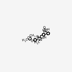 CCCc1nc(C)n(-c2ccc(OC3CC(C)OC(C)C3)cc2)c(=O)c1Cc1ccc(-c2ccccc2-c2noc(=O)[nH]2)cc1